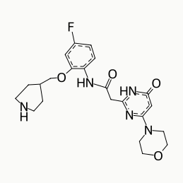 O=C(Cc1nc(N2CCOCC2)cc(=O)[nH]1)Nc1ccc(F)cc1OCC1CCNCC1